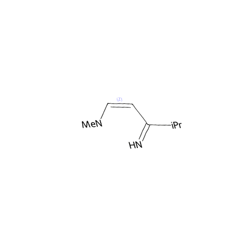 CN/C=C\C(=N)C(C)C